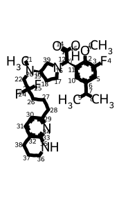 COc1c(F)cc(C(C)C)cc1[C@H](C(=O)O)N1CC[C@@H](N(C)CC(F)(F)CCCc2ccc3c(n2)NCCC3)C1